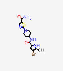 Cc1[nH]c(C(=O)NC2CCN(c3ncc(C(N)=O)s3)CC2)cc1Br